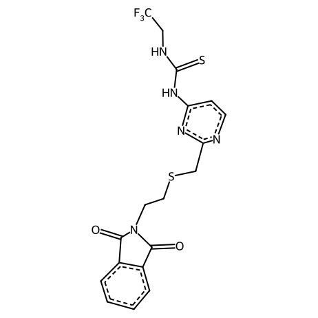 O=C1c2ccccc2C(=O)N1CCSCc1nccc(NC(=S)NCC(F)(F)F)n1